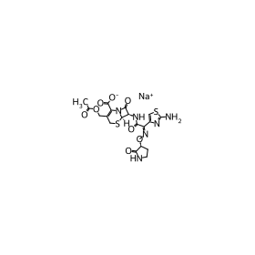 CC(=O)OCC1=C(C(=O)[O-])N2C(=O)[C@@H](NC(=O)/C(=N\O[C@H]3CCNC3=O)c3csc(N)n3)[C@H]2SC1.[Na+]